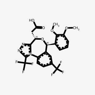 COc1cccc([C@@H]2O[C@@H](CC(=O)O)c3nnc(C(F)(F)F)n3-c3ccc(C(F)(F)F)cc32)c1OC